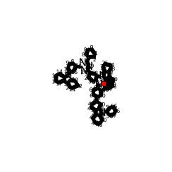 c1ccc(-c2nc(-c3cccc(-n4c5ccccc5c5ccccc54)c3)nc(-c3ccc(-n4c5ccccc5c5cc(-c6ccc7c8ccccc8n(-c8ccccc8)c7c6)ccc54)c(-n4c5ccccc5c5ccccc54)c3)n2)cc1